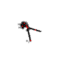 CCCCCCCCCCCCCCCC(=O)O[C@H](COC(=O)CCCCCCCCCCCCCN)COP(=O)(O)OC1C(O)[C@@H](OP(=O)(O)O)C(OP(=O)(O)O)[C@@H](OP(=O)(O)O)[C@H]1O